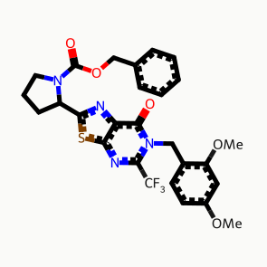 COc1ccc(Cn2c(C(F)(F)F)nc3sc(C4CCCN4C(=O)OCc4ccccc4)nc3c2=O)c(OC)c1